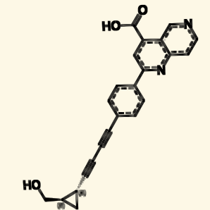 O=C(O)c1cc(-c2ccc(C#CC#C[C@@H]3C[C@H]3CO)cc2)nc2ccncc12